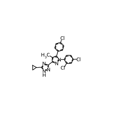 Cc1c(-c2n[nH]c(C3CC3)n2)nn(-c2ccc(Cl)cc2Cl)c1-c1ccc(Cl)cc1